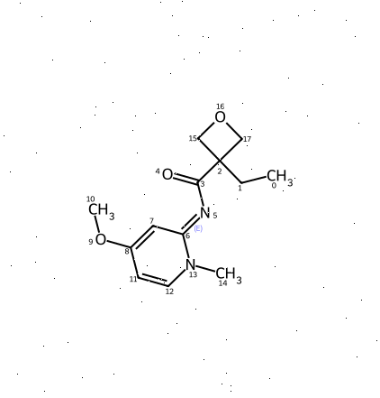 CCC1(C(=O)/N=c2\cc(OC)ccn2C)COC1